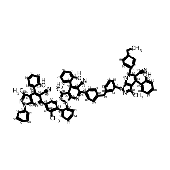 CCc1ccc(-c2nc3c(c(C)nn3-c3cccc(Cc4ccc(-c5nc6c(c(C)nn6-c6ccccc6-c6ccc(-c7nc8c(c(C)nn8-c8ccccc8)c(-c8ccccc8O)c7C#N)cc6C)c(-c6ccccc6O)c5C#N)cc4)c3)c(-c3ccccc3O)c2C#N)cc1